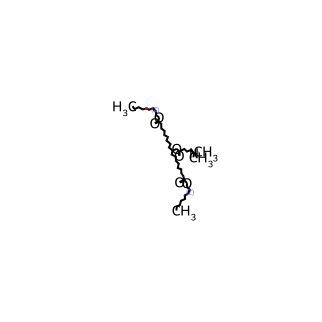 CCCCCC/C=C\COC(=O)CCCCCCCCC(CCCCCCCCC(=O)OC/C=C\CCCCCC)OC(=O)CCCN(C)C